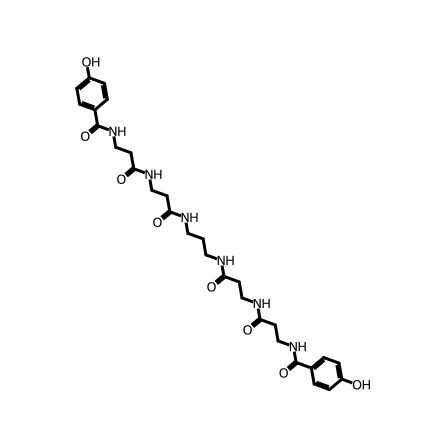 O=C(CCNC(=O)CCNC(=O)c1ccc(O)cc1)NCCCNC(=O)CCNC(=O)CCNC(=O)c1ccc(O)cc1